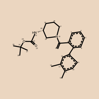 C=C(c1ccccc1-c1ccc(C)c(C)c1)N1CCC[C@@H](NC(=O)OC(C)(C)C)C1